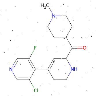 CN1CCC(C(=O)C2C=C(c3c(F)cncc3Cl)CCN2)CC1